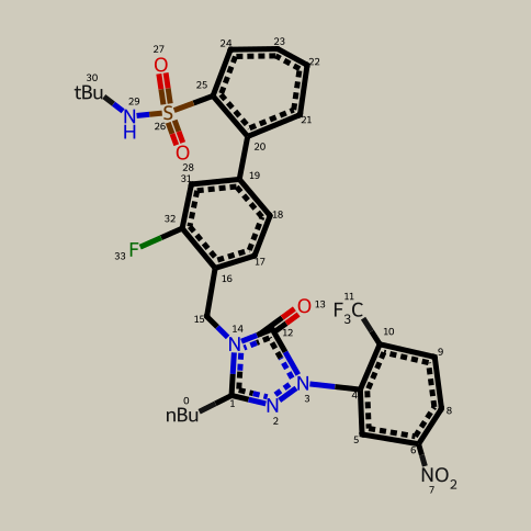 CCCCc1nn(-c2cc([N+](=O)[O-])ccc2C(F)(F)F)c(=O)n1Cc1ccc(-c2ccccc2S(=O)(=O)NC(C)(C)C)cc1F